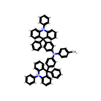 Cc1ccc(N(c2ccc(C3(c4ccccc4)c4ccccc4N(c4ccccc4)c4ccccc43)cc2)c2ccc(C3(c4ccccc4)c4ccccc4N(c4ccccc4)c4ccccc43)cc2)cc1